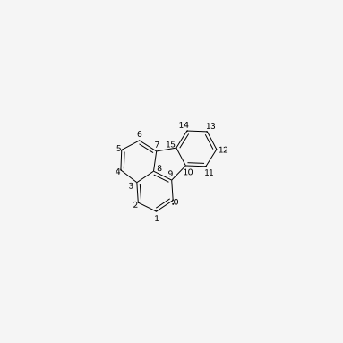 [c]1ccc2cccc3c2c1-c1ccccc1-3